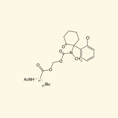 CC[C@@H](C)[C@H](NC(C)=O)C(=O)OCOC(=O)N(C)C1(c2ccccc2Cl)CCCCC1=O